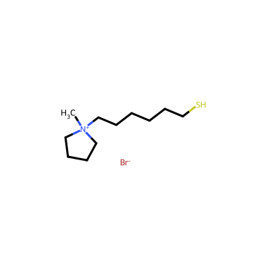 C[N+]1(CCCCCCS)CCCC1.[Br-]